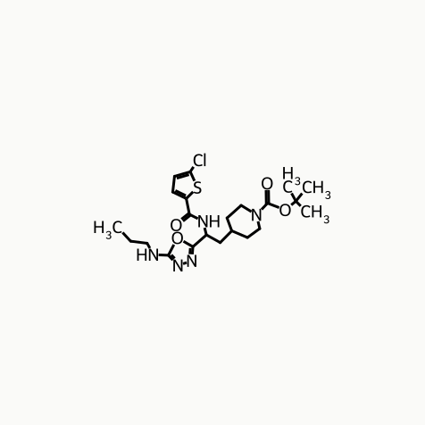 CCCNc1nnc(C(CC2CCN(C(=O)OC(C)(C)C)CC2)NC(=O)c2ccc(Cl)s2)o1